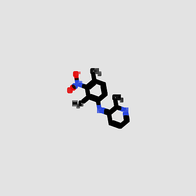 Cc1ccc(N=C2C=CC=NC2C)c(C)c1[N+](=O)[O-]